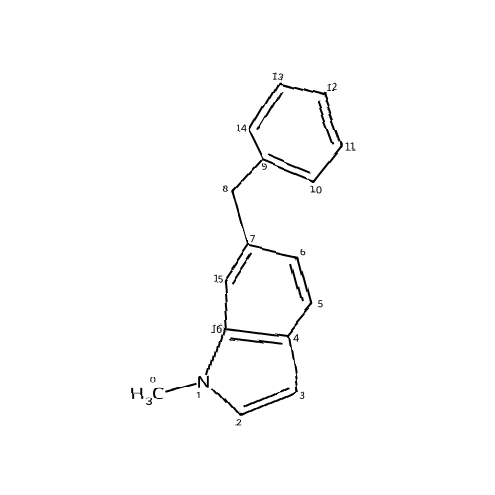 Cn1ccc2ccc(Cc3ccccc3)cc21